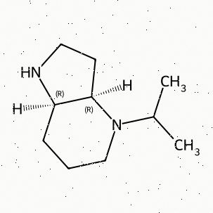 CC(C)N1CCC[C@H]2NCC[C@H]21